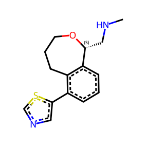 CNC[C@H]1OCCCc2c(-c3cncs3)cccc21